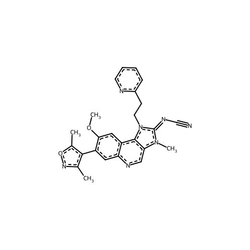 COc1cc2c(cc1-c1c(C)noc1C)ncc1c2n(CCc2ccccn2)c(=NC#N)n1C